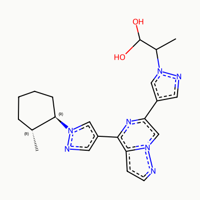 CC(C(O)O)n1cc(-c2cn3nccc3c(-c3cnn([C@@H]4CCCC[C@H]4C)c3)n2)cn1